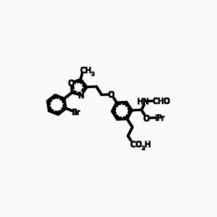 Cc1oc(-c2ccccc2Br)nc1CCOc1ccc(CCC(=O)O)c(C(NC=O)OC(C)C)c1